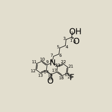 O=C(O)CCCCCn1c2ccccc2c(=O)c2cc(F)ccc21